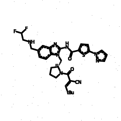 CC(C)(C)C=C(C#N)C(=O)N1CCC[C@@H]1Cn1c(NC(=O)c2ccc(-n3cccn3)s2)nc2cc(CNCC(F)F)ccc21